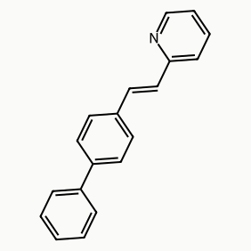 C(=Cc1ccccn1)c1ccc(-c2ccccc2)cc1